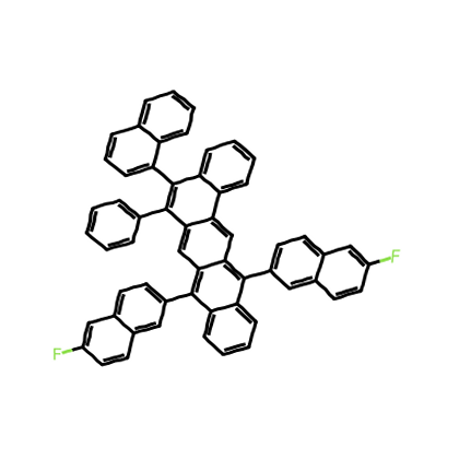 Fc1ccc2cc(-c3c4ccccc4c(-c4ccc5cc(F)ccc5c4)c4cc5c(cc34)c(-c3ccccc3)c(-c3cccc4ccccc34)c3ccccc35)ccc2c1